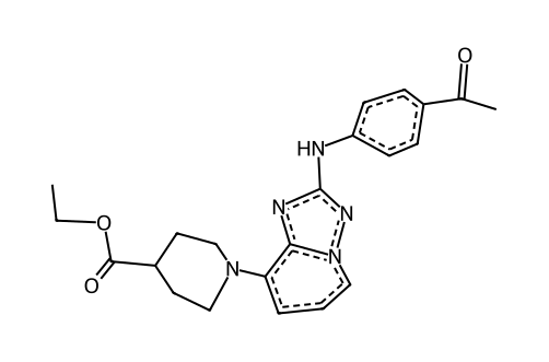 CCOC(=O)C1CCN(c2cccn3nc(Nc4ccc(C(C)=O)cc4)nc23)CC1